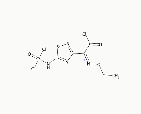 CCO/N=C(\C(=O)Cl)c1nsc(NP(=O)(Cl)Cl)n1